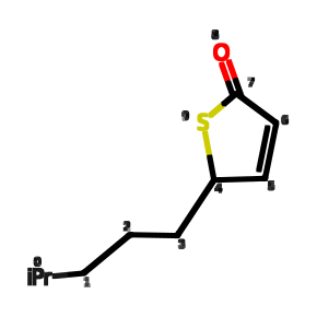 CC(C)CCCC1C=CC(=O)S1